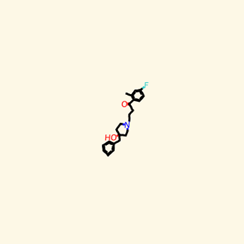 Cc1cc(F)ccc1C(=O)CCCN1CCC(O)(Cc2ccccc2)CC1